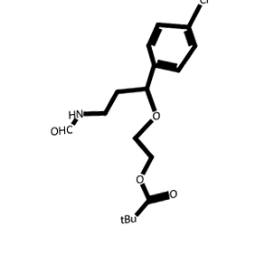 CC(C)(C)C(=O)OCCOC(CCNC=O)c1ccc(Cl)cc1